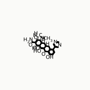 CN(C)[C@@H]1C(O)=C(C(N)=O)C(=O)[C@@]2(O)C(O)=C3C(=O)c4c(O)ccc(-c5cncnc5)c4C[C@H]3C[C@@H]12